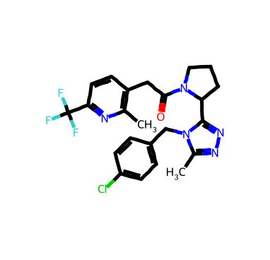 Cc1nc(C(F)(F)F)ccc1CC(=O)N1CCCC1c1nnc(C)n1Cc1ccc(Cl)cc1